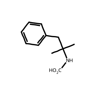 CC(C)(Cc1ccccc1)NC(=O)O